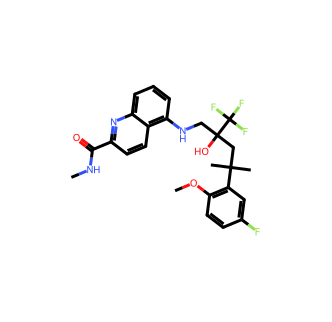 CNC(=O)c1ccc2c(NCC(O)(CC(C)(C)c3cc(F)ccc3OC)C(F)(F)F)cccc2n1